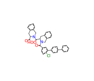 O=C(O)C1Cc2ccccc2CN1C(=O)C1Cc2ccccc2CN1C(=O)c1ccc(Cl)c(-c2ccc(-c3ccccc3)cc2)c1